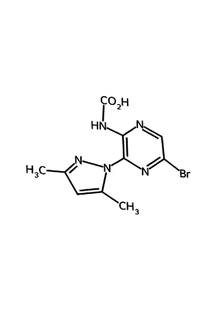 Cc1cc(C)n(-c2nc(Br)cnc2NC(=O)O)n1